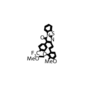 COCCOc1c(C=Cc2nc3sc4ccccc4n3c(=O)c2-c2ccc(C(F)(F)F)cc2)cccc1OC